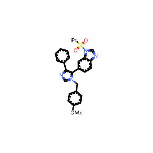 COc1ccc(Cn2cnc(-c3ccccc3)c2-c2ccc3ncn(S(=O)(=O)C(C)C)c3c2)cc1